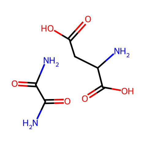 NC(=O)C(N)=O.NC(CC(=O)O)C(=O)O